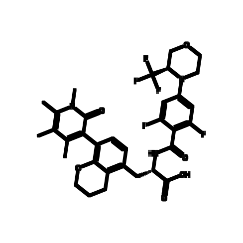 Cc1c(C)c(C)n(C)c(=O)c1-c1ccc(C[C@H](NC(=O)c2c(F)cc(N3CCOC[C@@H]3C(F)(F)F)cc2F)C(=O)O)c2c1OCCC2